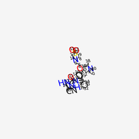 CC1CC(OCCN2CCS(=O)(=O)CC2)(c2ccc(NC(=O)c3nc(C#N)c[nH]3)c(C3=CCCCC3)c2)CC(C)N1C